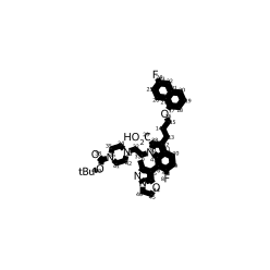 Cc1nn2c(c1-c1c(F)ccc3c(CCCOc4cccc5cc(F)ccc45)c(C(=O)O)n(CCN4CCN(C(=O)OC(C)(C)C)CC4)c13)OCC2